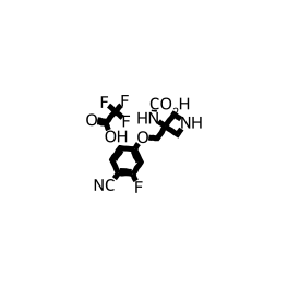 N#Cc1ccc(OCC2(NC(=O)O)CNC2)cc1F.O=C(O)C(F)(F)F